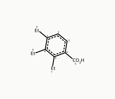 CCc1ccc(C(=O)O)c(CC)c1CC